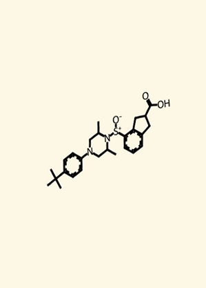 CC1CN(c2ccc(C(C)(C)C)cc2)CC(C)N1[S+]([O-])c1cccc2c1CC(C(=O)O)C2